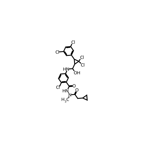 CN(NC(=O)c1cc(NC(O)C2C(c3cc(Cl)cc(Cl)c3)C2(Cl)Cl)ccc1Cl)C(=O)CC1CC1